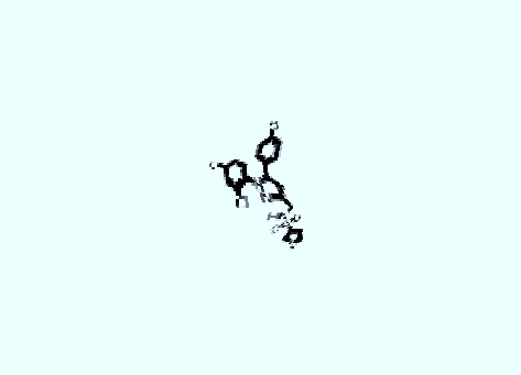 O=S(=O)(NCC1=NN(c2ccc(Cl)cc2Cl)C(c2ccc(Cl)cc2)C1)c1ccsc1